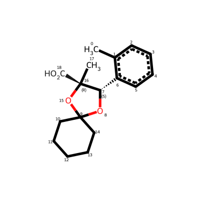 Cc1ccccc1[C@@H]1OC2(CCCCC2)O[C@@]1(C)C(=O)O